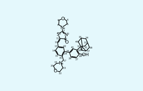 O=C1N=C(N2CCOCC2)SC1=Cc1ccc(CN2CCOCC2)c(-c2ccc(O)c(C34CC5CC(CC(C5)C3)C4)c2)c1